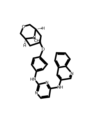 CN1[C@@H]2COC[C@H]1CC(Oc1ccc(Nc3nccc(Nc4cnc5ccccc5c4)n3)cc1)C2